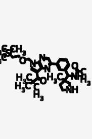 CC(=O)NC(c1cccc(-c2cnc3c(n2)c(C(=O)C(C)(C)C)cn3COCC[Si](C)(C)C)c1)C1(C)CCNC1